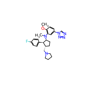 COc1ccc(-n2cnnn2)cc1N(C)[C@H]1CC[C@H](CN2CCCC2)[C@H]1c1ccc(F)cc1